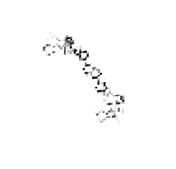 COC(=O)N[C@H](C(=O)N1[C@H](c2nc3ccc(-c4ccc5cc(-c6ccc7nc([C@@H]8C[C@H]9[C@@H](C)[C@H]9N8C(=O)[C@@H](NC(=O)OC)C8CCOCC8)[nH]c7c6)ccc5n4)cc3[nH]2)C2C3[C@H]2[C@@H]31)C1CCOCC1